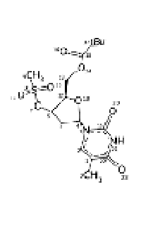 Cc1cn([C@H]2CC(OS(C)(=O)=O)[C@@H](COC(=O)C(C)(C)C)O2)c(=O)[nH]c1=O